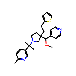 CCOC(c1ccncc1)C1(CCc2cccs2)CCN(C(C)(C)c2ccc(C)nc2)C1